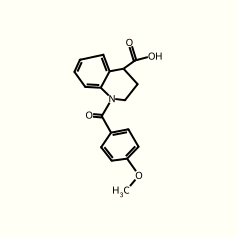 COc1ccc(C(=O)N2CCC(C(=O)O)c3ccccc32)cc1